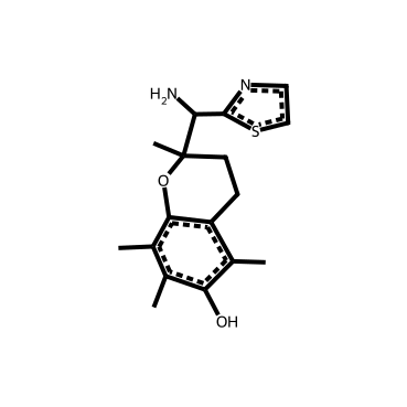 Cc1c(C)c2c(c(C)c1O)CCC(C)(C(N)c1nccs1)O2